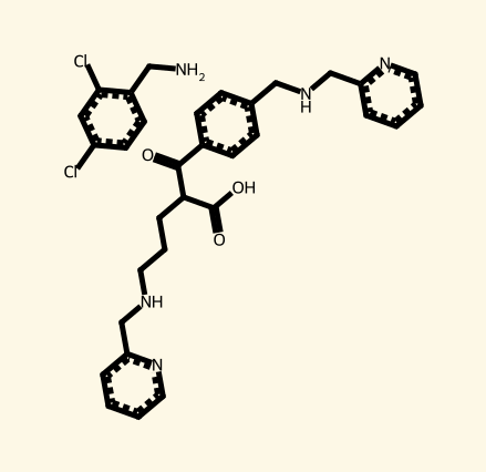 NCc1ccc(Cl)cc1Cl.O=C(O)C(CCCNCc1ccccn1)C(=O)c1ccc(CNCc2ccccn2)cc1